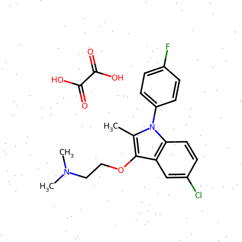 Cc1c(OCCN(C)C)c2cc(Cl)ccc2n1-c1ccc(F)cc1.O=C(O)C(=O)O